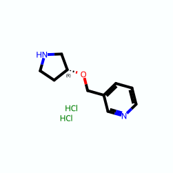 Cl.Cl.c1cncc(CO[C@@H]2CCNC2)c1